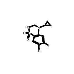 O=S1(=O)NCN(C2CC2)c2cc(F)c(Cl)cc21